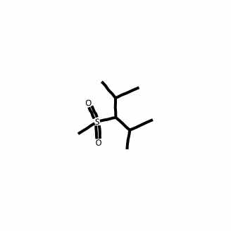 CC(C)C(C(C)C)S(C)(=O)=O